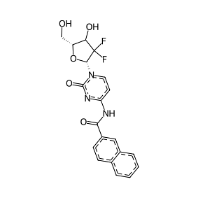 O=C(Nc1ccn([C@@H]2O[C@H](CO)C(O)C2(F)F)c(=O)n1)c1ccc2ccccc2c1